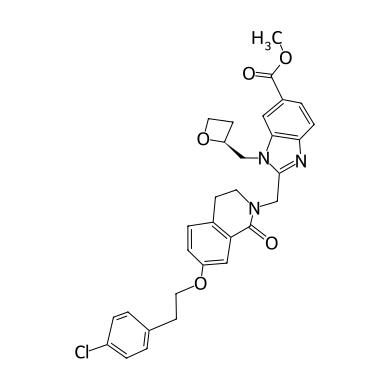 COC(=O)c1ccc2nc(CN3CCc4ccc(OCCc5ccc(Cl)cc5)cc4C3=O)n(C[C@@H]3CCO3)c2c1